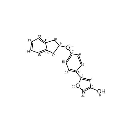 Oc1cc(-c2ccc(OC3Cc4ccccc4C3)cc2)on1